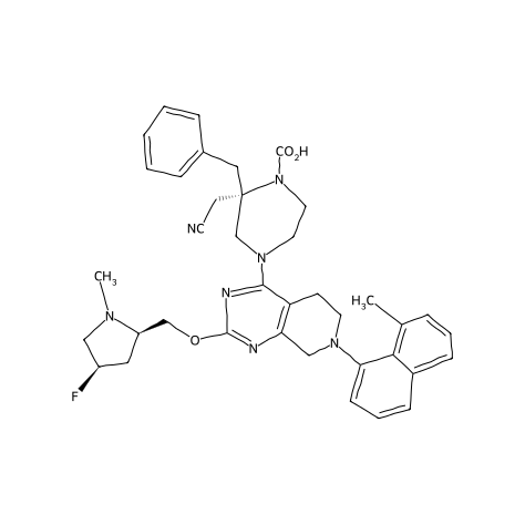 Cc1cccc2cccc(N3CCc4c(nc(OC[C@H]5C[C@@H](F)CN5C)nc4N4CCN(C(=O)O)[C@](CC#N)(Cc5ccccc5)C4)C3)c12